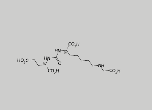 O=C(O)CC[C@H](NC(=O)N[C@@H](CCCCCNCC(=O)O)C(=O)O)C(=O)O